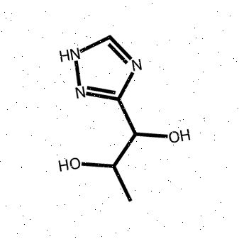 CC(O)C(O)c1nc[nH]n1